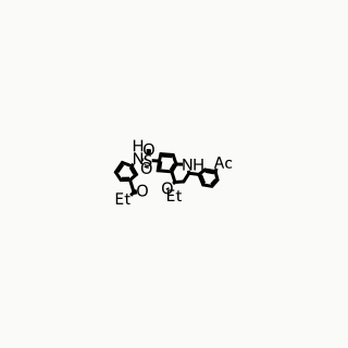 CCOC1CC(c2cccc(C(C)=O)c2)Nc2ccc(S(=O)(=O)Nc3cccc(C(=O)CC)c3)cc21